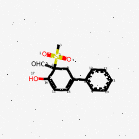 CS(=O)(=O)C1(C=O)CC(c2ccccc2)=CC=C1O